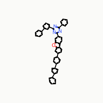 c1ccc(-c2ccc(-c3ccc(-c4ccc5c(c4)oc4cc(-c6nc(-c7ccccc7)nc(-c7cccc(-c8ccccc8)c7)n6)ccc45)cc3)cc2)cc1